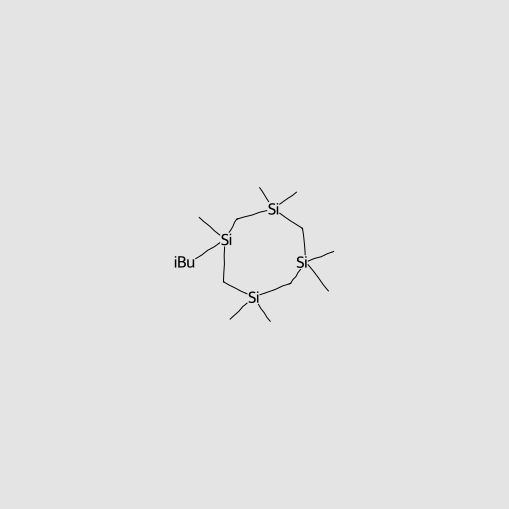 CCC(C)[Si]1(C)C[Si](C)(C)C[Si](C)(C)C[Si](C)(C)C1